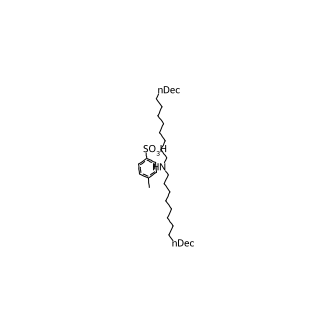 CCCCCCCCCCCCCCCCCCNCCCCCCCCCCCCCCCCCC.Cc1ccc(S(=O)(=O)O)cc1